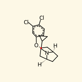 Clc1ccc(O[C@@H]2C[C@H]3CC[C@@H](C2)N3CC2CC2)cc1Cl